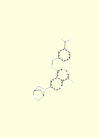 Cc1nnc(N[C@H](C)c2cccc(C(F)F)c2)c2cc(N3CC4CC3CO4)cnc12